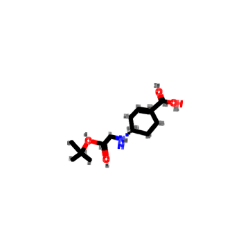 CC(C)(C)OC(=O)CN[C@@H]1CC=C(C(=O)O)CC1